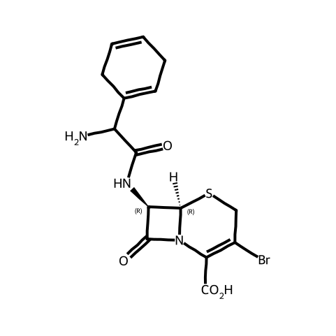 NC(C(=O)N[C@@H]1C(=O)N2C(C(=O)O)=C(Br)CS[C@H]12)C1=CCC=CC1